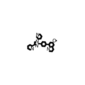 COc1cc(-c2ccc(-c3nc(-c4ccccn4)cn3-c3cccnc3)cc2)c2ncccc2c1